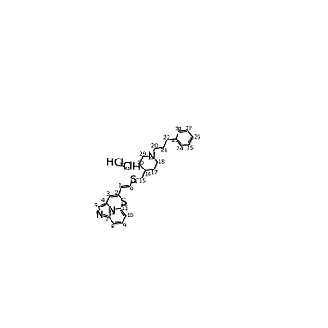 C(=CC1=Cc2cnc3cccc(n23)S1)SCC1CCN(CCCc2ccccc2)CC1.Cl.Cl